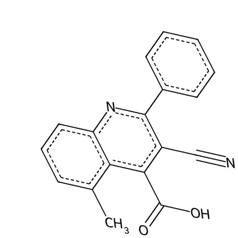 Cc1cccc2nc(-c3ccccc3)c(C#N)c(C(=O)O)c12